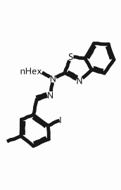 CCCCCCN(/N=C/c1cc(C)ccc1I)c1nc2ccccc2s1